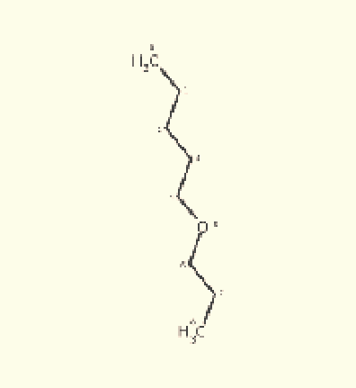 CCCC[CH]OCCC